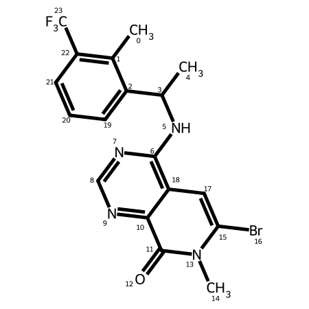 Cc1c(C(C)Nc2ncnc3c(=O)n(C)c(Br)cc23)cccc1C(F)(F)F